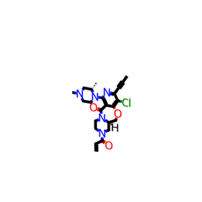 C=CC(=O)N1CCN2C(=O)c3c(N4CCN(C)C[C@@H]4C)nc(C#CC)c(Cl)c3OC[C@H]2C1